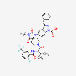 CC(C)C(NC(=O)c1cc(C(F)(F)F)ccc1F)C(=O)N1CCC2(CC1)C(=O)N(C)C(=O)N2c1ccc2c(c1)c(Cc1ccccc1)nn2C(=O)O